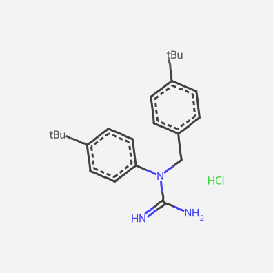 CC(C)(C)c1ccc(CN(C(=N)N)c2ccc(C(C)(C)C)cc2)cc1.Cl